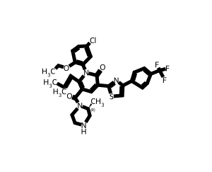 CCOc1ccc(Cl)cc1-n1c(C=C(C)C)c(C(=O)N2CCNC[C@H]2C)cc(-c2nc(-c3ccc(C(F)(F)F)cc3)cs2)c1=O